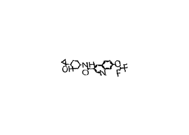 O=C(N[C@H]1CC[C@H](C2(O)CC2)CC1)c1cnc2cc(OC(F)F)ccc2c1